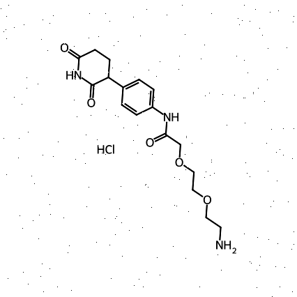 Cl.NCCOCCOCC(=O)Nc1ccc(C2CCC(=O)NC2=O)cc1